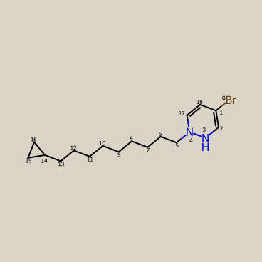 BrC1=CNN(CCCCCCCCCC2CC2)C=C1